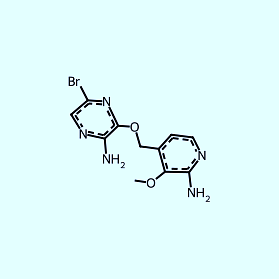 COc1c(COc2nc(Br)cnc2N)ccnc1N